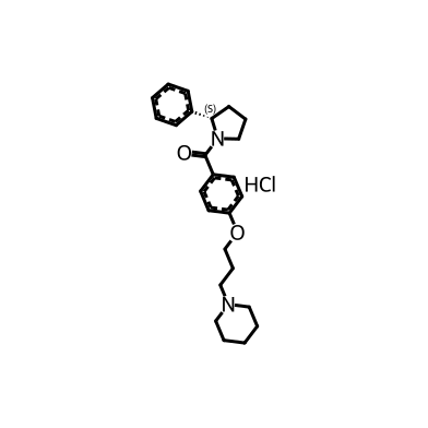 Cl.O=C(c1ccc(OCCCN2CCCCC2)cc1)N1CCC[C@H]1c1ccccc1